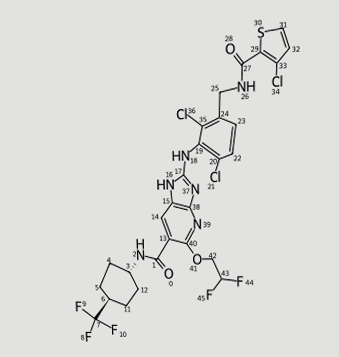 O=C(N[C@H]1CC[C@H](C(F)(F)F)CC1)c1cc2[nH]c(Nc3c(Cl)ccc(CNC(=O)c4sccc4Cl)c3Cl)nc2nc1OCC(F)F